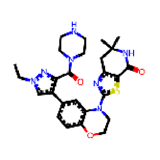 CCn1cc(-c2ccc3c(c2)N(c2nc4c(s2)C(=O)NC(C)(C)C4)CCO3)c(C(=O)N2CCNCC2)n1